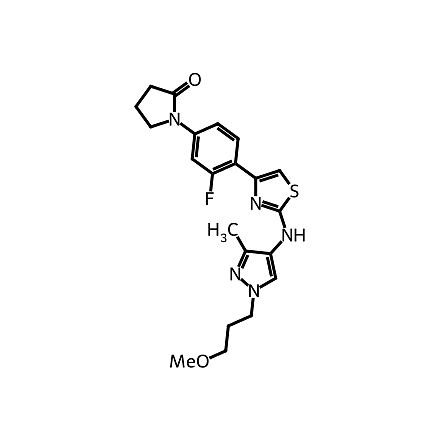 COCCCn1cc(Nc2nc(-c3ccc(N4CCCC4=O)cc3F)cs2)c(C)n1